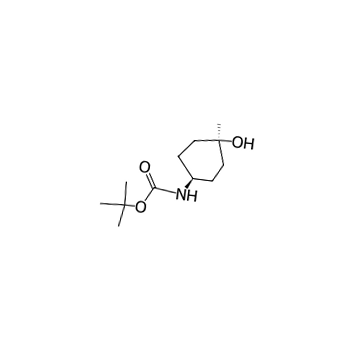 CC(C)(C)OC(=O)N[C@H]1CC[C@@](C)(O)CC1